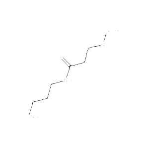 CCCCCCCCCCCCNC(=O)CCNCCCCCC